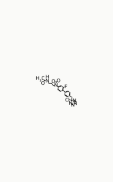 CC(=O)NCC1CN(c2ccc(-c3ccc(CC4(Cl)N=NN=N4)cc3)c(F)c2)C(=O)O1